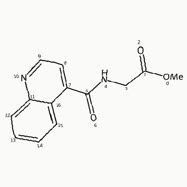 COC(=O)CNC(=O)c1ccnc2ccccc12